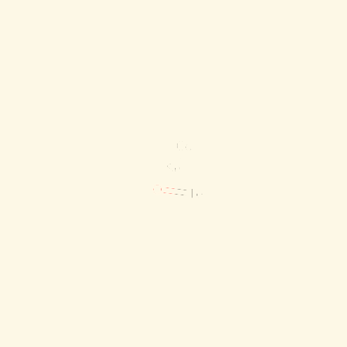 O=[Te].[Cd].[Se]